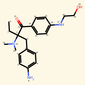 CCC(Cc1ccc(N)cc1)(C(=O)c1ccc(NCCO)cc1)N(C)C